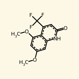 COc1cc(OC)c2c(C(F)(F)F)cc(=O)[nH]c2c1